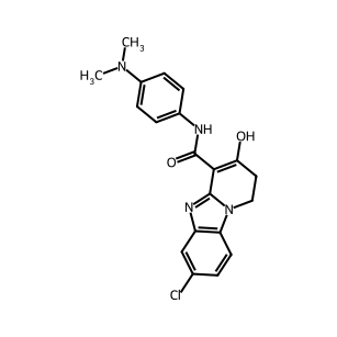 CN(C)c1ccc(NC(=O)C2=C(O)CCn3c2nc2cc(Cl)ccc23)cc1